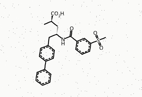 C[C@H](C[C@@H](Cc1ccc(-c2ccccc2)cc1)NC(=O)c1cccc(S(C)(=O)=O)c1)C(=O)O